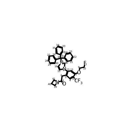 O=C(Cc1cc(C(F)(F)F)c(OCCF)cc1N1C=CN(C(c2ccccc2)(c2ccccc2)c2ccccc2)C1)N1CCC1